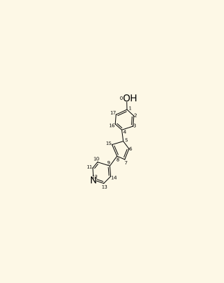 Oc1ccc(C2C=CC(c3ccncc3)=C2)cc1